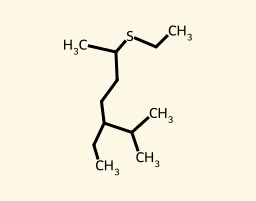 CCSC(C)CCC(CC)C(C)C